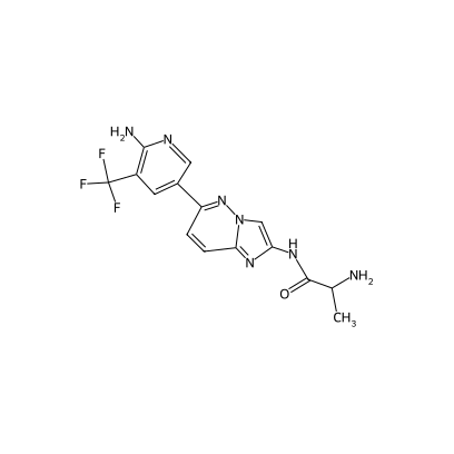 CC(N)C(=O)Nc1cn2nc(-c3cnc(N)c(C(F)(F)F)c3)ccc2n1